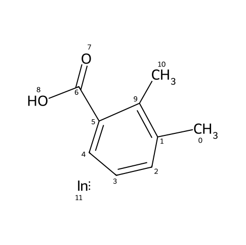 Cc1cccc(C(=O)O)c1C.[In]